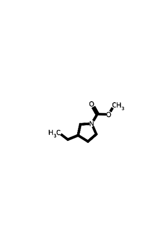 CCC1CCN(C(=O)OC)C1